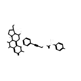 CC[C@]1(O)CC[C@H]2[C@H]3C(=C4C(=CC(=O)C(F)C4F)C(F)C3F)[C@@H](c3ccc(C#CCOC(=O)Nc4ccc(OC)cc4)cc3)C(F)[C@@]21C